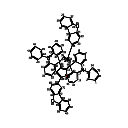 c1ccc(N2c3ccccc3C3(c4ccccc42)c2cc(-c4ccc5oc6ccccc6c5c4)sc2C2(c4ccccc4N(c4ccccc4)c4ccccc42)c2cc(-c4ccc5oc6ccccc6c5c4)sc23)cc1